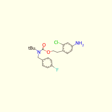 CC(C)(C)N(Cc1ccc(F)cc1)C(=O)OCCc1ccc(N)cc1Cl